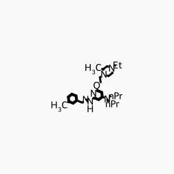 CCCN(CCC)c1cc(N/N=C/c2cccc(C)c2)nc(OCCN2CCN(CC)CC2C)c1